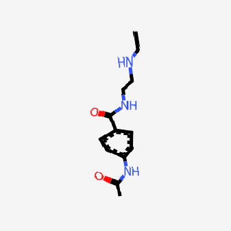 CCNCCNC(=O)c1ccc(NC(C)=O)cc1